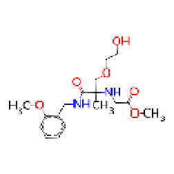 COC(=O)CNC(C)(COCCO)C(=O)NCc1ccccc1OC